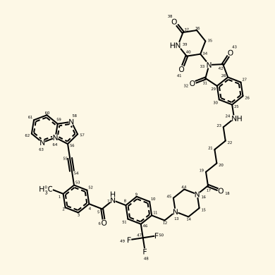 Cc1ccc(C(=O)Nc2ccc(CN3CCN(C(=O)CCCCCNc4ccc5c(c4)C(=O)N(C4CCC(=O)NC4=O)C5=O)CC3)c(C(F)(F)F)c2)cc1C#Cc1cnc2cccnn12